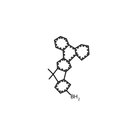 Bc1ccc2c(c1)-c1cc3c4ccccc4c4ccccc4c3cc1C2(C)C